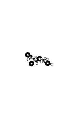 COc1ccccc1CNc1nc2c(c(=O)n1-c1ccccc1)CN(C(=O)Nc1ccc(Cl)cc1Cl)CC2